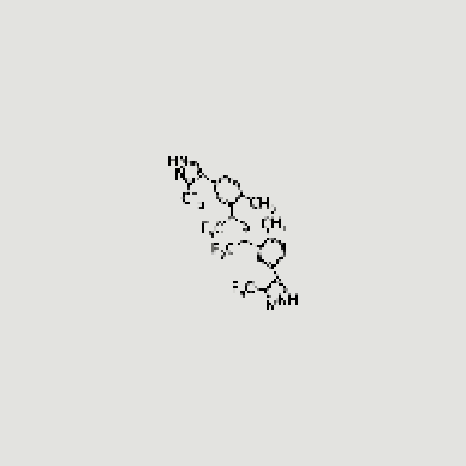 Cc1ccc(-c2c[nH]nc2C(F)(F)F)cc1C(SC(c1cc(-c2c[nH]nc2C(F)(F)F)ccc1C)C(F)(F)F)C(F)(F)F